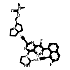 C#Cc1c(F)ccc2cccc(-c3nnc4c(N5CCNC[C@@H]5CC)nc(C#C[C@]56CCCN5[C@@H](COC(=O)N(C)C)CC6)nc4c3F)c12